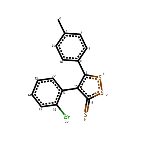 Cc1ccc(-c2ssc(=S)c2-c2ccccc2Br)cc1